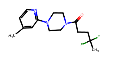 Cc1ccnc(N2CCN(C(=O)CCC(C)(F)F)CC2)c1